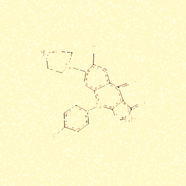 CN1CCN(c2cc3c(cc2F)c(=O)c2c(=O)[nH]sc2n3-c2ccc(F)cc2)CC1